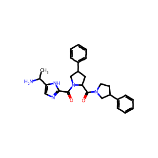 CC(N)c1cnc(C(=O)N2CC(c3ccccc3)CC2C(=O)N2CCC(c3ccccc3)C2)[nH]1